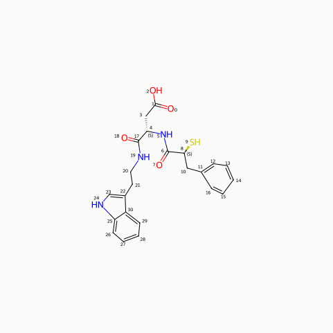 O=C(O)C[C@H](NC(=O)[C@@H](S)Cc1ccccc1)C(=O)NCCc1c[nH]c2ccccc12